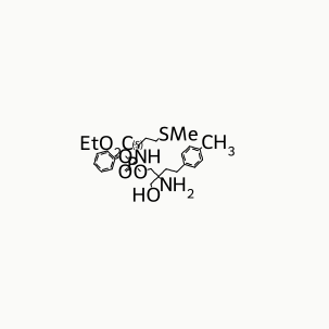 CCOC(=O)[C@H](CCSC)NP(=O)(OCC(N)(CO)CCc1ccc(C)cc1)Oc1ccccc1